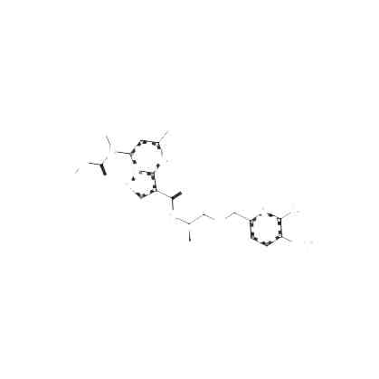 COc1ccc(COC[C@@H](C)NC(=O)c2cnn3c(N(C)C(=O)OC(C)(C)C)cc(C)nc23)nc1N